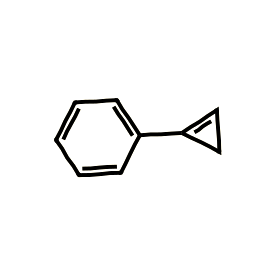 C1=C(c2ccccc2)C1